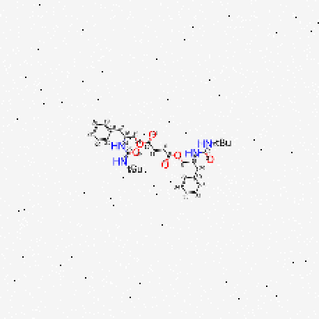 CC(C)(C)NC(=O)N[C@H](COC(=O)/C=C/C(=O)OC[C@H](Cc1ccccc1)NC(=O)NC(C)(C)C)Cc1ccccc1